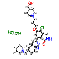 Cl.Cl.O=C1NCc2c(Cl)c(OCCCN3CCC(CO)CC3)cc(-c3cc4cc(CN5CCCCC5)ccc4[nH]3)c21